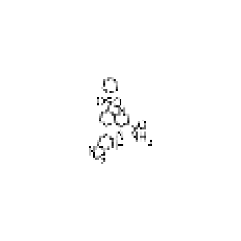 NC(=O)c1cnc2c(S(=O)(=O)c3ccccc3)cccc2c1Nc1ccc2ncsc2c1